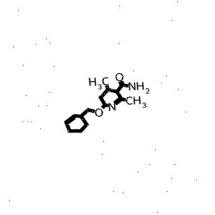 CC1=NC(OCC2C=CCCC2)CC(C)C1C(N)=O